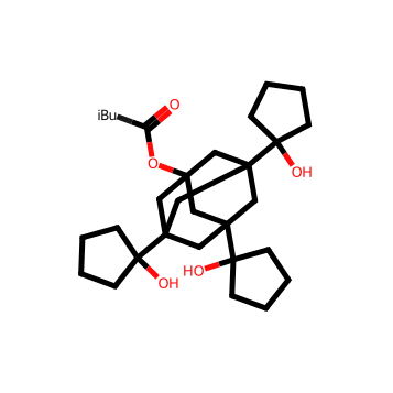 CCC(C)C(=O)OC12CC3(C4(O)CCCC4)CC(C4(O)CCCC4)(C1)CC(C1(O)CCCC1)(C2)C3